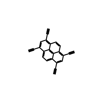 C#Cc1cc(C#C)c2ccc3c(C#C)cc(C#C)c4ccc1c2c43